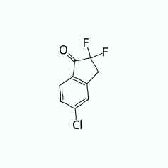 O=C1c2ccc(Cl)cc2CC1(F)F